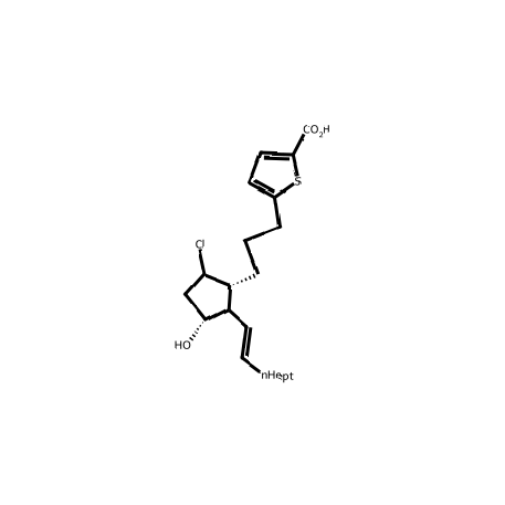 CCCCCCCC=CC1[C@@H](CCCc2ccc(C(=O)O)s2)C(Cl)C[C@H]1O